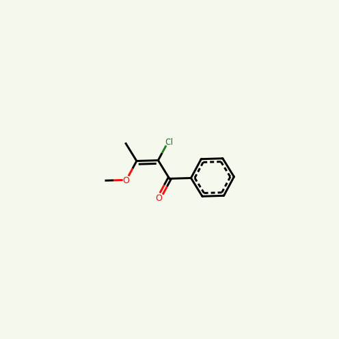 COC(C)=C(Cl)C(=O)c1ccccc1